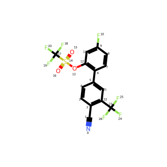 N#Cc1ccc(-c2ccc(F)cc2OS(=O)(=O)C(F)(F)F)cc1C(F)(F)F